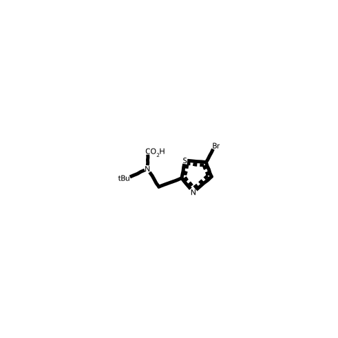 CC(C)(C)N(Cc1ncc(Br)s1)C(=O)O